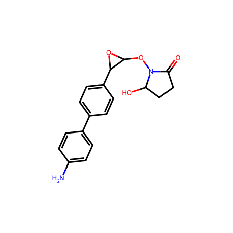 Nc1ccc(-c2ccc(C3OC3ON3C(=O)CCC3O)cc2)cc1